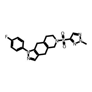 Cn1ncc(S(=O)(=O)N2CCC3=C(Cc4cnn(-c5ccc(F)cc5)c4C3)C2)n1